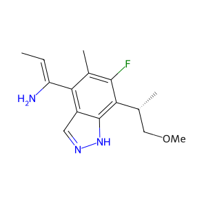 C/C=C(\N)c1c(C)c(F)c([C@H](C)COC)c2[nH]ncc12